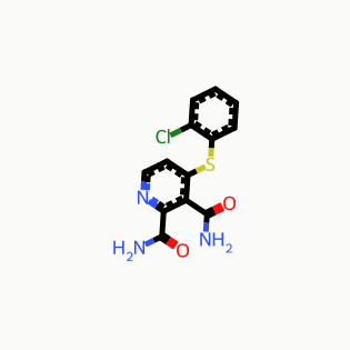 NC(=O)c1nccc(Sc2ccccc2Cl)c1C(N)=O